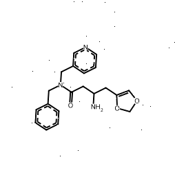 NC(CC(=O)N(Cc1ccccc1)Cc1cccnc1)CC1=COCO1